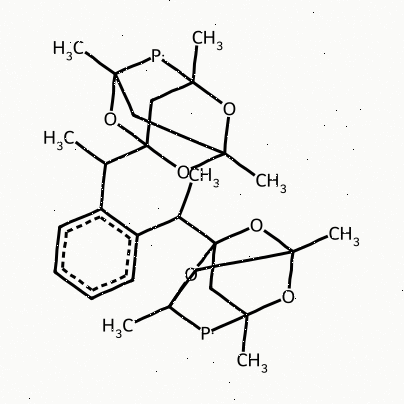 CC(c1ccccc1C(C)C12CC3(C)OC(C)(CC(C)(O1)[P]3)O2)C12CC3(C)OC(C)(CC(C)(O1)[P]3)O2